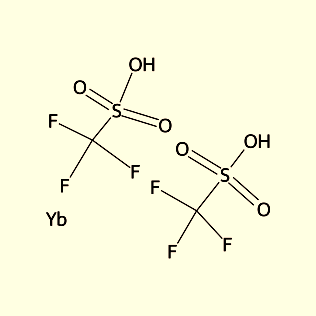 O=S(=O)(O)C(F)(F)F.O=S(=O)(O)C(F)(F)F.[Yb]